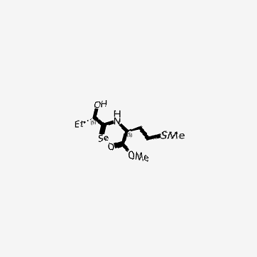 CC[C@H](O)C(=[Se])N[C@@H](CCSC)C(=O)OC